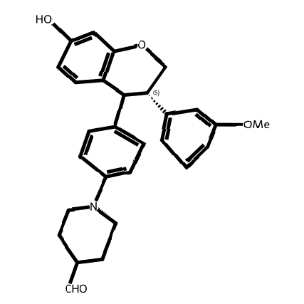 COc1cccc([C@H]2COc3cc(O)ccc3C2c2ccc(N3CCC(C=O)CC3)cc2)c1